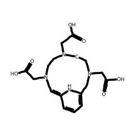 O=C(O)CN1C=C2C=CC=C(CN(CC(=O)O)CCN(CC(=O)O)CC1)N2